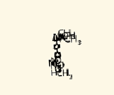 CCOC(=O)c1[nH]nnc1O[C@H]1CC[C@H](c2ccc(-c3ccnn3CC(O)(CC)CC)cc2)CC1